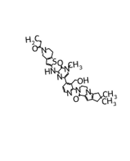 C=CC(=O)N1CCc2sc(Nc3nc(-c4ccnc(N5CCn6c(cc7c6CC(C)(C)C7)C5=O)c4CO)cn(C)c3=O)cc2C1